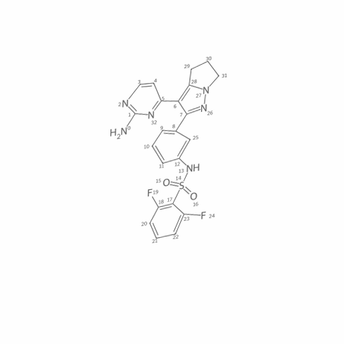 Nc1nccc(-c2c(-c3cccc(NS(=O)(=O)c4c(F)cccc4F)c3)nn3c2CCC3)n1